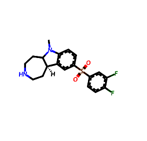 CN1c2ccc(S(=O)(=O)c3ccc(F)c(F)c3)cc2[C@H]2CCNCCC21